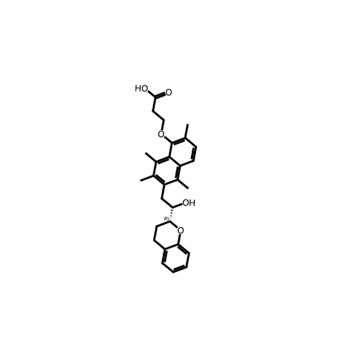 Cc1ccc2c(C)c(CC(O)[C@H]3CCc4ccccc4O3)c(C)c(C)c2c1OCCC(=O)O